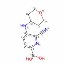 N#Cc1nc(B(O)O)ccc1NC1CCOCC1